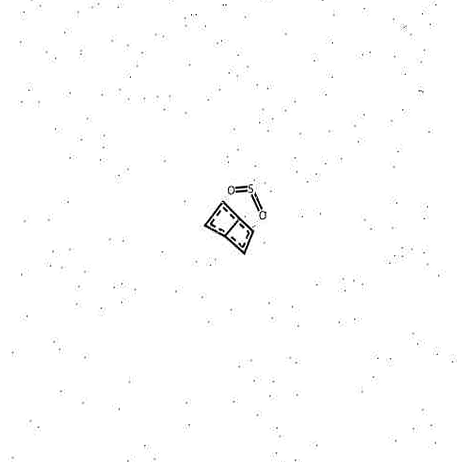 O=S=O.c1cc2ccc1-2